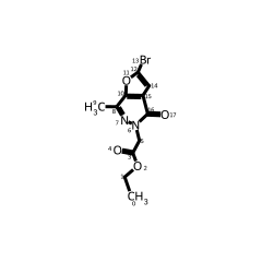 CCOC(=O)Cn1nc(C)c2oc(Br)cc2c1=O